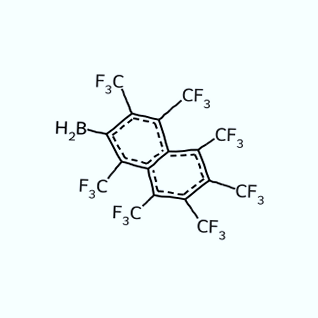 Bc1c(C(F)(F)F)c(C(F)(F)F)c2c(C(F)(F)F)c(C(F)(F)F)c(C(F)(F)F)c(C(F)(F)F)c2c1C(F)(F)F